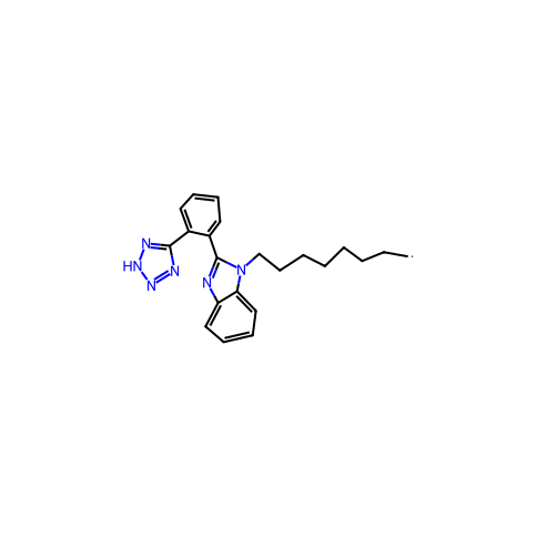 [CH2]CCCCCCCn1c(-c2ccccc2-c2nn[nH]n2)nc2ccccc21